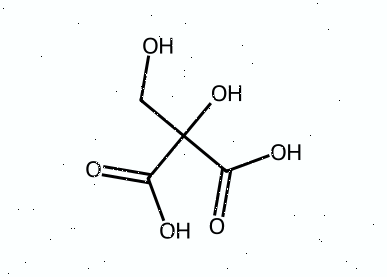 O=C(O)C(O)(CO)C(=O)O